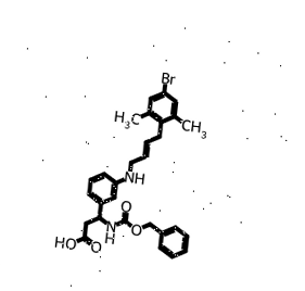 Cc1cc(Br)cc(C)c1CC=CCNc1cccc(C(CC(=O)O)NC(=O)OCc2ccccc2)c1